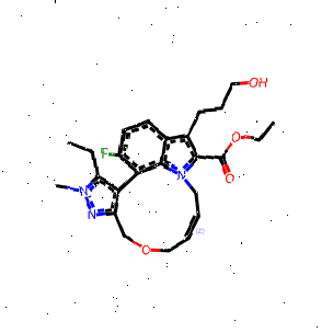 CCOC(=O)c1c(CCCO)c2ccc(F)c3c2n1C/C=C\COCc1nn(C)c(CC)c1-3